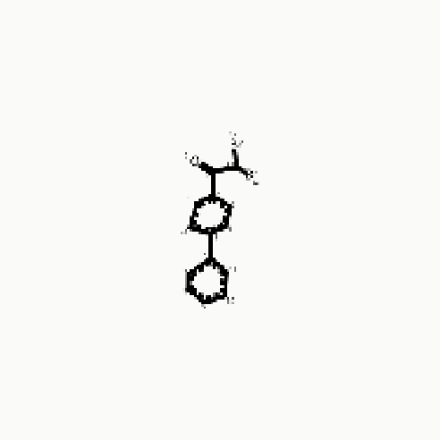 O=C(c1ccc(-c2ccccc2)cc1)C(Br)Br